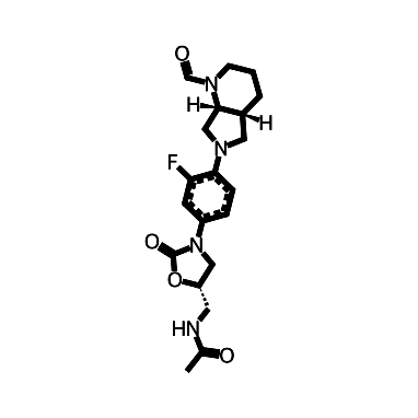 CC(=O)NC[C@H]1CN(c2ccc(N3C[C@H]4CCCN(C=O)[C@H]4C3)c(F)c2)C(=O)O1